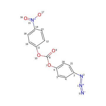 [N-]=[N+]=Nc1ccc(OC(=O)Oc2ccc([N+](=O)[O-])cc2)cc1